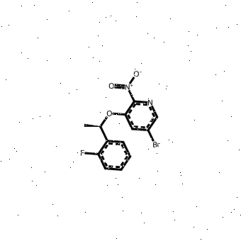 C[C@@H](Oc1cc(Br)cnc1[N+](=O)[O-])c1ccccc1F